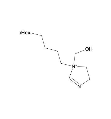 CCCCCCCCCC[N+]1(CO)C=NCC1